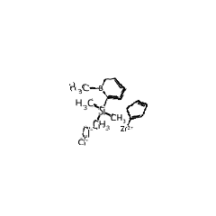 CB1CC=CC=C1[Si](C)(C)C.[Cl-].[Cl-].[Zr+2][C]1=CC=CC1